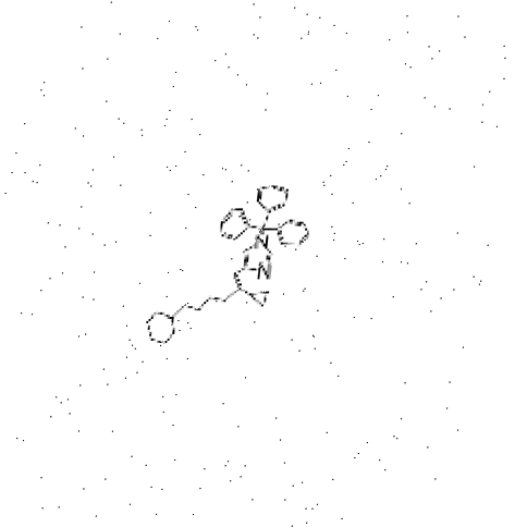 C(=C(CCCCC1CCCCC1)C1CC1)c1cn(C(c2ccccc2)(c2ccccc2)c2ccccc2)cn1